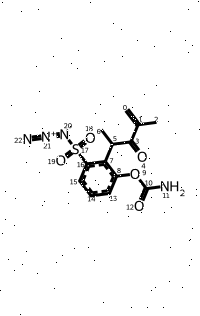 C=C(C)C(=O)C(C)c1c(OC(N)=O)cccc1S(=O)(=O)N=[N+]=[N-]